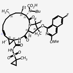 CCC(C)N(C(=O)O)[C@@H]1C(=O)N2[C@@H](C[C@@](C)(Oc3nc(OC)cc4cc(F)ccc34)C2(F)F)C(=O)N[C@]2(C(=O)NS(=O)(=O)C3(C)CC3)C[C@H]2/C=C\CC[C@H](C)C[C@H]1CC